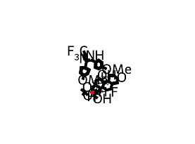 CC1(C)O[C@@H]2C[C@H]3[C@@H]4C[C@H](F)C5=CC(=O)C=C[C@]5(C)[C@H]4[C@@H](O)C[C@]3(C)[C@]2(C(=O)CO)O1.COc1ccc(-c2nc(C(F)(F)F)[nH]c2-c2ccc(OC)cc2)cc1